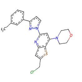 Cc1cccc(-c2ccn(-c3cc(N4CCOCC4)c4sc(CCl)cc4n3)n2)c1